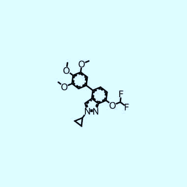 COc1cc(-c2ccc(OC(F)F)c3nn(C4CC4)cc23)cc(OC)c1OC